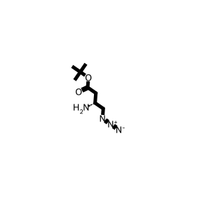 CC(C)(C)OC(=O)C[C@@H](N)CN=[N+]=[N-]